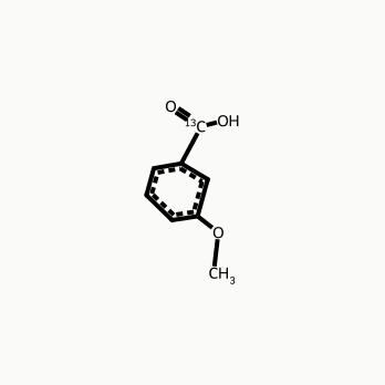 COc1cccc([13C](=O)O)c1